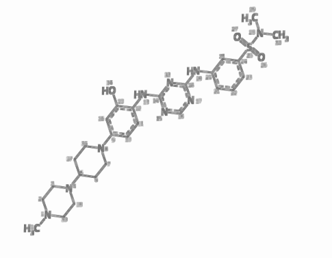 CN1CCN(C2CCN(c3ccc(Nc4ncnc(Nc5cccc(S(=O)(=O)N(C)C)c5)n4)c(O)c3)CC2)CC1